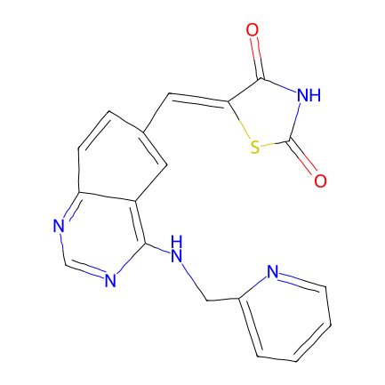 O=C1NC(=O)C(=Cc2ccc3ncnc(NCc4ccccn4)c3c2)S1